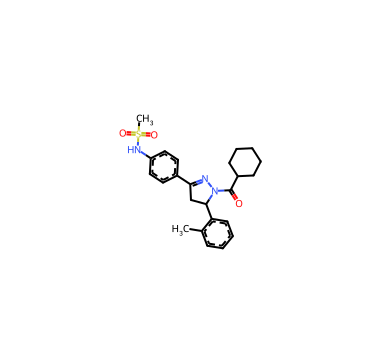 Cc1ccccc1C1CC(c2ccc(NS(C)(=O)=O)cc2)=NN1C(=O)C1CCCCC1